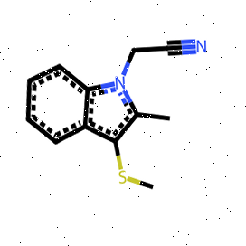 CSc1c(C)n(CC#N)c2ccccc12